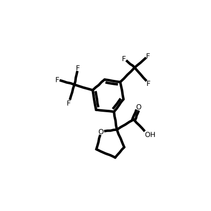 O=C(O)C1(c2cc(C(F)(F)F)cc(C(F)(F)F)c2)CCCO1